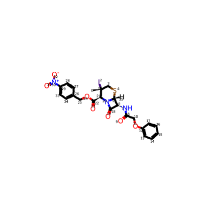 C[C@@]1(I)CS[C@@H]2[C@H](NC(=O)COc3ccccc3)C(=O)N2[C@H]1C(=O)OCc1ccc([N+](=O)[O-])cc1